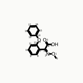 CO/N=C(\C(=O)O)c1ccccc1Oc1ccccc1